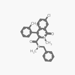 Cc1ccccc1-c1c(C(=O)N(C)Cc2ccccc2)n(C)c(=O)c2cc(Cl)ccc12